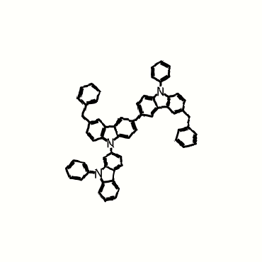 c1ccc(Cc2ccc3c(c2)c2cc(-c4ccc5c(c4)c4cc(Cc6ccccc6)ccc4n5-c4ccc5c6ccccc6n(-c6ccccc6)c5c4)ccc2n3-c2ccccc2)cc1